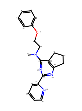 CN(CCOc1ccccc1)c1nc(-c2ccccn2)nc2c1CCC2